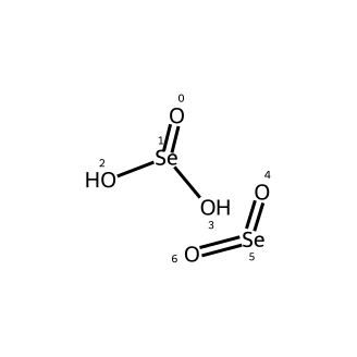 O=[Se](O)O.O=[Se]=O